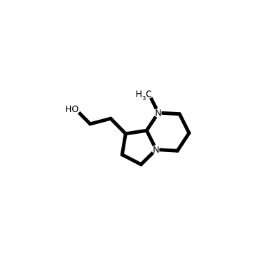 CN1CCCN2CCC(CCO)C12